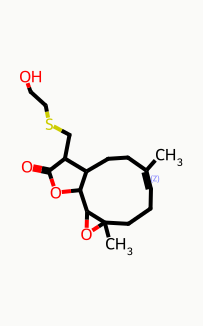 C/C1=C/CCC2(C)OC2C2OC(=O)C(CSCCO)C2CC1